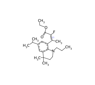 CCCN1CCC(C)(C)c2cc(C(C)C)cc(/C(C)=C(/F)C(=O)OCC)c21